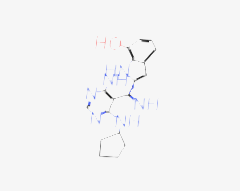 N=C(c1cc2cccc(O)c2[nH]1)c1c(N)ncnc1NC1CCCC1